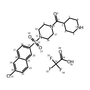 O=C(C1CCNCC1)N1CCN(S(=O)(=O)c2ccc3cc(Cl)ccc3c2)CC1.O=C(O)C(F)(F)F